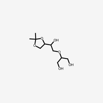 CC1(C)OCC(C(O)COC(CO)CO)O1